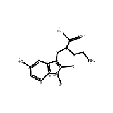 Cc1c(CC(CCN)C(=O)O)c2cc(O)ccc2n1C